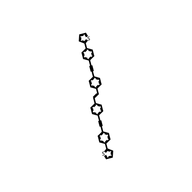 C(#Cc1ccc(-c2cccs2)cc1)c1ccc(/C=C/c2ccc(C#Cc3ccc(-c4cccs4)cc3)cc2)cc1